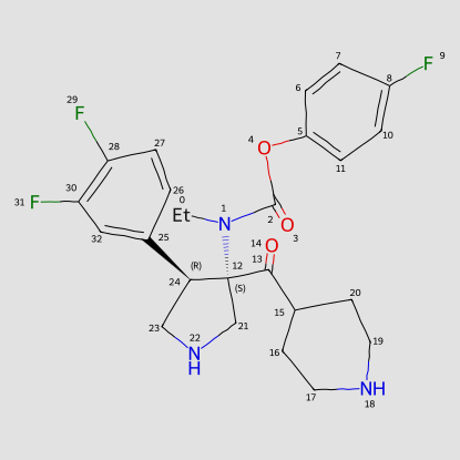 CCN(C(=O)Oc1ccc(F)cc1)[C@]1(C(=O)C2CCNCC2)CNC[C@H]1c1ccc(F)c(F)c1